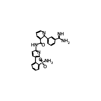 N=C(N)c1cccc(-c2ncccc2C(=O)Nc2ccc(-c3ccccc3S(N)(=O)=O)cn2)c1